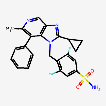 Cc1ncc2nc(C3CC3)n(Cc3c(F)cc(S(N)(=O)=O)cc3F)c2c1-c1ccccc1